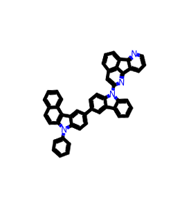 c1ccc(-n2c3ccc(-c4ccc5c(c4)c4ccccc4n5-c4cc5cccc6c5c(n4)-c4cccnc4-6)cc3c3c4ccccc4ccc32)cc1